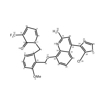 COc1ccnc(Cn2cccc(C(F)(F)F)c2=O)c1COc1cccc2c(-c3ncsc3Cl)cc(C)nc12